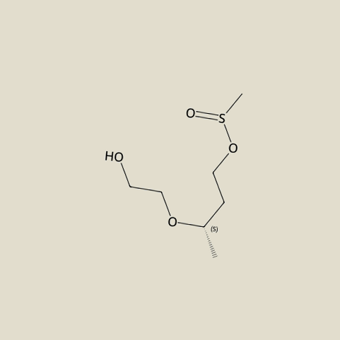 C[C@@H](CCOS(C)=O)OCCO